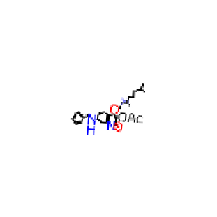 CC(=O)Oc1c(OC/C=C(\C)CCC=C(C)C)c2ccc(NCc3ccccc3)cc2n(C)c1=O